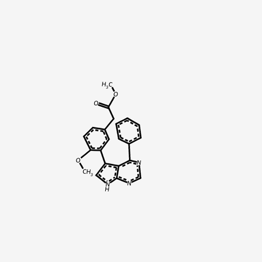 COC(=O)Cc1ccc(OC)c(-c2c[nH]c3ncnc(-c4ccccc4)c23)c1